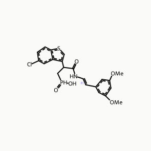 COc1cc(/C=C/NC(=O)C(C[PH](=O)O)c2csc3ccc(Cl)cc23)cc(OC)c1